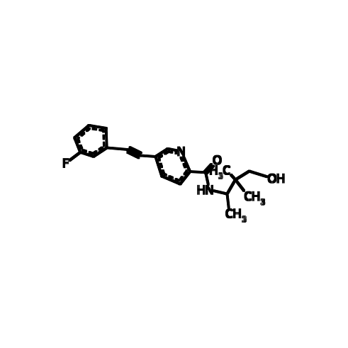 CC(NC(=O)c1ccc(C#Cc2cccc(F)c2)cn1)C(C)(C)CO